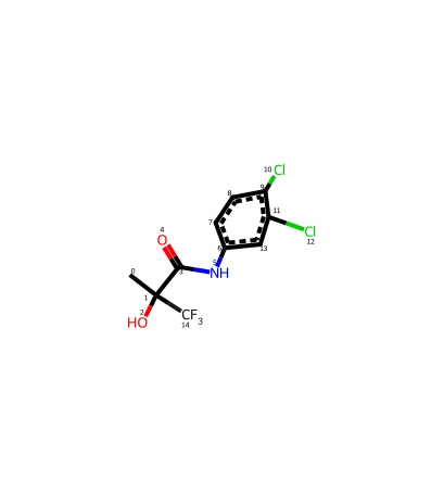 CC(O)(C(=O)Nc1ccc(Cl)c(Cl)c1)C(F)(F)F